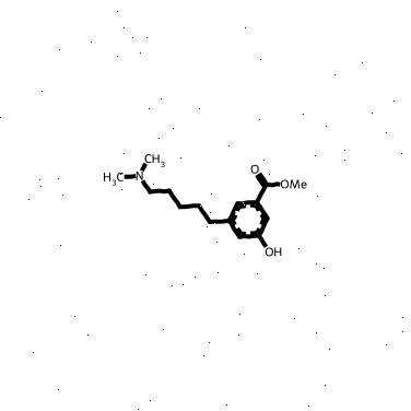 COC(=O)c1cc(O)cc(CCCCCN(C)C)c1